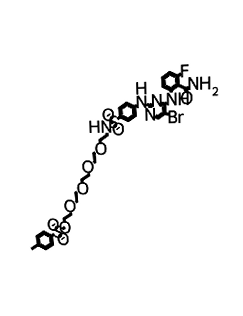 Cc1ccc(S(=O)(=O)OCCOCCOCCOCCOCCNS(=O)(=O)c2ccc(Nc3ncc(Br)c(Nc4cccc(F)c4C(N)=O)n3)cc2)cc1